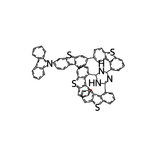 c1ccc2c(c1)sc1cccc(C3=NC(c4cccc5sc6ccc(-c7ccc8c(c7)sc7cc(-n9c%10ccccc%10c%10ccccc%109)ccc78)cc6c45)NC(c4cccc5sc6ccccc6c45)N3)c12